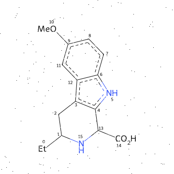 CCC1Cc2c([nH]c3ccc(OC)cc23)C(C(=O)O)N1